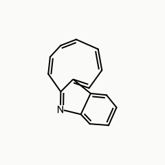 C1=C\C=C/C2=Nc3ccccc3/C2=C\C=C/1